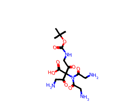 CC(C)(C)OC(=O)NCC(=O)C(C(=O)O)(C(=O)CN)N(C(=O)CN)C(=O)CN